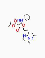 C=CNC(/N=C\C)C(C/C=C1\OC(NC2CCCCC2)C(C(=O)OC(C)C)C1=O)CC(C)C